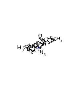 C/C=C(\PC1C=NC(C2CCN(C)CC2)=CN1C=O)c1ccc2nc(C)cn2c1